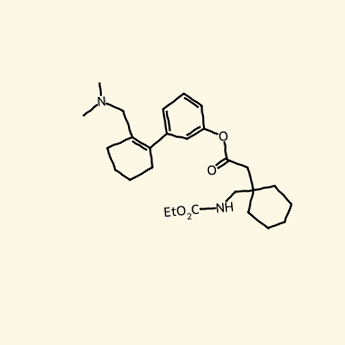 CCOC(=O)NCC1(CC(=O)Oc2cccc(C3=C(CN(C)C)CCCC3)c2)CCCCC1